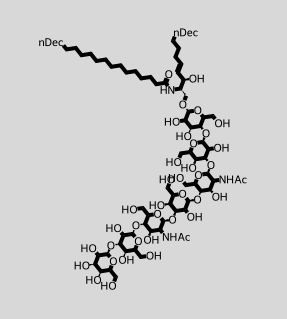 CCCCCCCCCCCCC/C=C/[C@@H](O)[C@H](CO[C@@H]1OC(CO)[C@@H](O[C@@H]2OC(CO)[C@H](O)[C@H](O[C@@H]3OC(CO)[C@@H](O[C@@H]4OC(CO)[C@H](O)[C@H](O[C@@H]5OC(CO)[C@@H](O[C@@H]6OC(CO)[C@H](O)[C@H](O[C@H]7OC(CO)[C@H](O)[C@H](O)C7O)C6O)[C@H](O)C5NC(C)=O)C4O)[C@H](O)C3NC(C)=O)C2O)[C@H](O)C1O)NC(=O)CCCCCCCCCCCCCCCCCCCCCCC